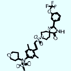 Cc1cc(N(C2CCOCC2)S(C)(=O)=O)cc(C)c1C=CS(=O)(=O)N1CCC2(CC1)N=C(c1cccc(OC(F)(F)F)c1)NC2=O